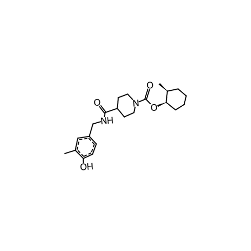 Cc1cc(CNC(=O)C2CCN(C(=O)O[C@@H]3CCCC[C@@H]3C)CC2)ccc1O